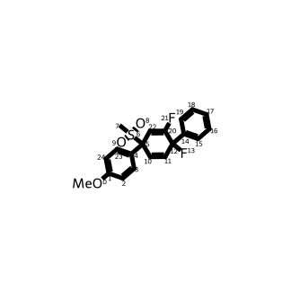 COc1ccc(C2(S(C)(=O)=O)C=CC(F)(c3ccccc3)C(F)=C2)cc1